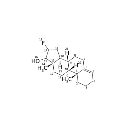 C[C@]12CCCC=C1CC[C@@H]1[C@H]2CC[C@]2(C)C(O)C(F)C[C@@H]12